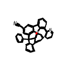 N#Cc1cc(C2(c3ccccc3)c3ccccc3-c3ccccc32)c2oc3c(-c4ccccn4)cccc3c2c1